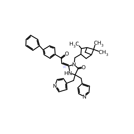 CC1C(CN2C(=O)C(Cc3ccncc3)(Cc3ccncc3)N/C2=C/C(=O)c2ccc(-c3ccccc3)cc2)CC2CC1C2(C)C